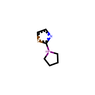 c1csc([PH]2CCCC2)n1